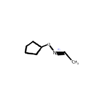 C/C=N/OC1CCCC1